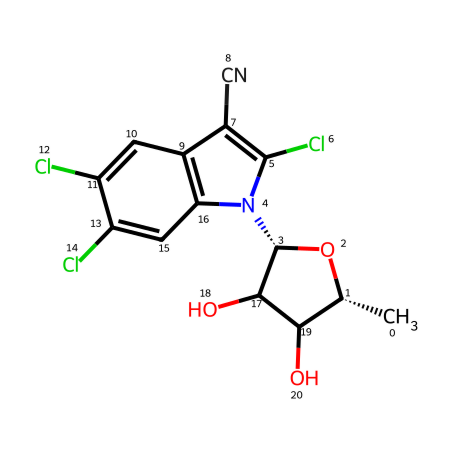 C[C@H]1O[C@@H](n2c(Cl)c(C#N)c3cc(Cl)c(Cl)cc32)C(O)C1O